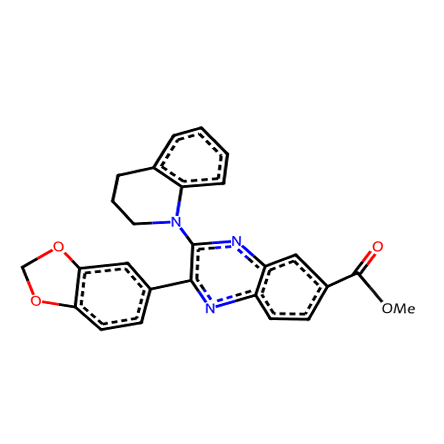 COC(=O)c1ccc2nc(-c3ccc4c(c3)OCO4)c(N3CCCc4ccccc43)nc2c1